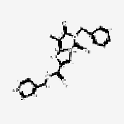 Cc1c(=O)n(Cc2ccccc2)c(=O)n2cc(C(=O)OCc3ccncc3)sc12